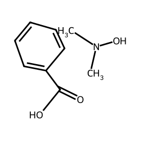 CN(C)O.O=C(O)c1ccccc1